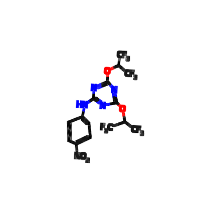 O=[N+]([O-])c1ccc(Nc2nc(OC(C(F)(F)F)C(F)(F)F)nc(OC(C(F)(F)F)C(F)(F)F)n2)cc1